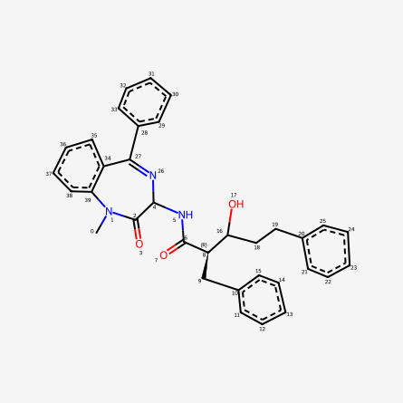 CN1C(=O)C(NC(=O)[C@H](Cc2ccccc2)C(O)CCc2ccccc2)N=C(c2ccccc2)c2ccccc21